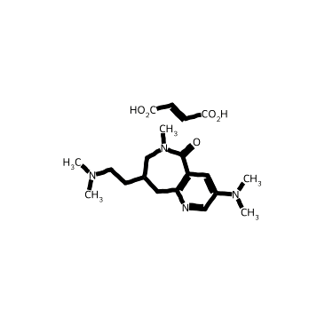 CN(C)CCC1Cc2ncc(N(C)C)cc2C(=O)N(C)C1.O=C(O)/C=C/C(=O)O